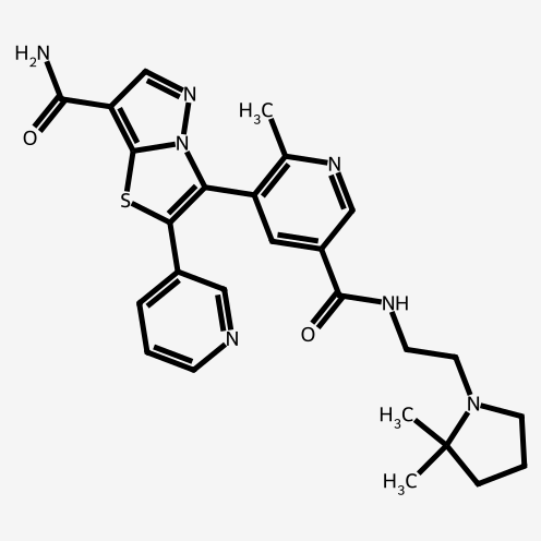 Cc1ncc(C(=O)NCCN2CCCC2(C)C)cc1-c1c(-c2cccnc2)sc2c(C(N)=O)cnn12